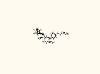 COCCc1ccc(N2C=C(C(=O)NC3CN4CCC3CC4)C=CC2O)cc1